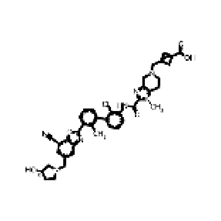 Cc1c(-c2nc3cc(CN4CC[C@@H](O)C4)cc(C#N)c3o2)cccc1-c1cccc(NC(=O)c2nc3c(n2C)CCN(CC24CC(C(=O)O)(C2)C4)C3)c1Cl